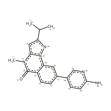 CC(C)c1cc2n(C)c(=O)c3ccc(-c4ccc(N)nc4)cc3n2n1